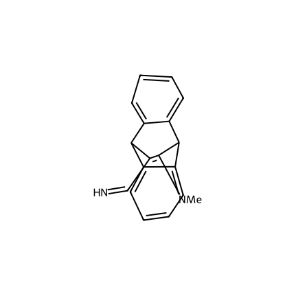 CNC1=C(C=N)C2c3ccccc3C1c1ccccc12